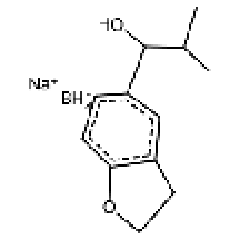 CC(C)C(O)c1ccc2c(c1)CCO2.[BH4-].[Na+]